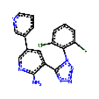 Nc1ncc(-c2cccnc2)cc1-c1nnnn1-c1c(F)cccc1Cl